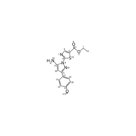 CCOC(=O)c1cnc(-n2nc(-c3ccc(OC)cc3)cc2N)s1